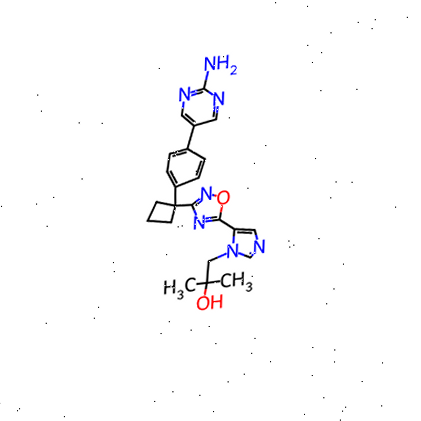 CC(C)(O)Cn1cncc1-c1nc(C2(c3ccc(-c4cnc(N)nc4)cc3)CCC2)no1